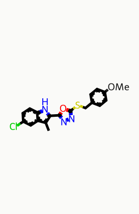 COc1ccc(CSc2nnc(-c3[nH]c4ccc(Cl)cc4c3C)o2)cc1